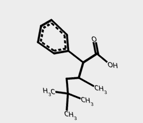 CC(CC(C)(C)C)C(C(=O)O)c1ccccc1